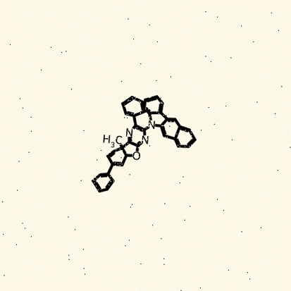 CC12C=CC(c3ccccc3)=CC1Oc1nc(-n3c4ccccc4c4cc5ccccc5cc43)c(-c3ccccc3)nc12